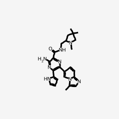 Cc1cnc2ccc(-c3nc(C(=O)NCC4CC(C)(C)CN4C)c(N)nc3-c3ccc[nH]3)cn12